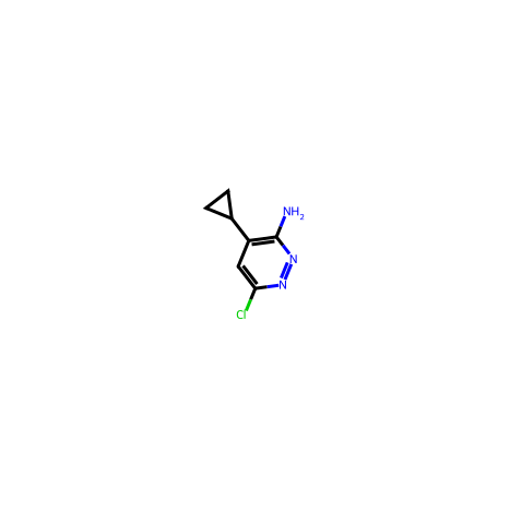 Nc1nnc(Cl)cc1C1CC1